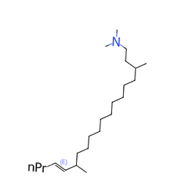 CCC/C=C/C(C)CCCCCCCCCCC(C)CCN(C)C